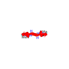 CN[C@@H](C)C(=O)N[C@@H](CCCCNS(=O)(=O)c1ccc(-c2ccc(S(=O)(=O)NCCCC[C@H](NC(=O)[C@H](C)NC)C(=O)N3CCC[C@H]3c3cncc(C(=O)c4ccc(F)cc4)c3)cc2)cc1)C(=O)N1CCC[C@H]1c1cncc(C(=O)c2ccc(F)cc2)c1